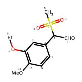 CCOc1cc(C(C=O)S(C)(=O)=O)ccc1OC